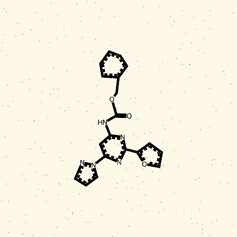 O=C(Nc1cc(-n2cccn2)nc(-c2ccco2)n1)OCc1ccccc1